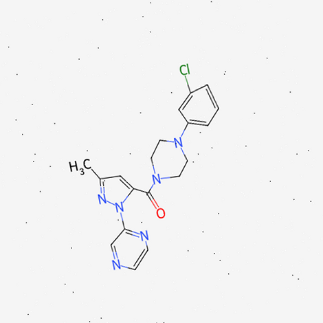 Cc1cc(C(=O)N2CCN(c3cccc(Cl)c3)CC2)n(-c2cnccn2)n1